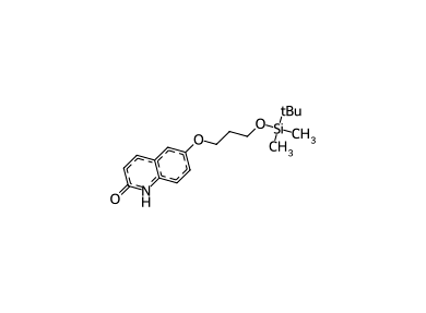 CC(C)(C)[Si](C)(C)OCCCOc1ccc2[nH]c(=O)ccc2c1